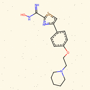 N=C(NO)c1nc(-c2ccc(OCCN3CCCCC3)cc2)cs1